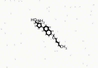 CC/C=C/COC[C@@H]1CCc2cc([C@H]3CC[C@](N)(CO)C3)ccc2C1